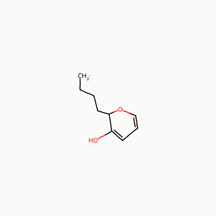 [CH2]CCCC1OC=CC=C1O